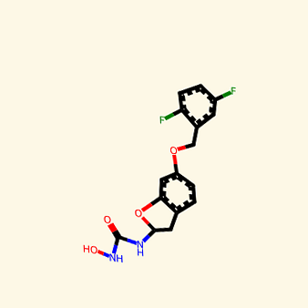 O=C(NO)NC1Cc2ccc(OCc3cc(F)ccc3F)cc2O1